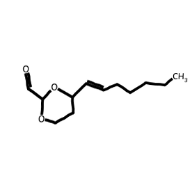 CCCCCC=CC1CCOC(C=O)O1